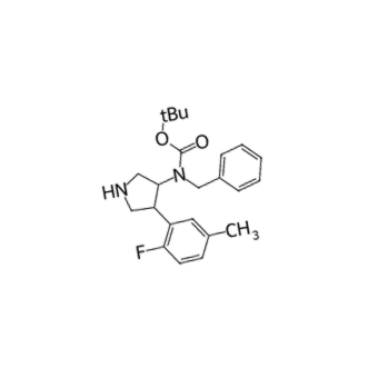 Cc1ccc(F)c(C2CNCC2N(Cc2ccccc2)C(=O)OC(C)(C)C)c1